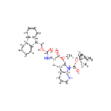 COC(=O)C(Cc1cn(C(=O)OC(C)(C)C)c2ncccc12)NC(=O)OCC1c2ccccc2-c2ccccc21